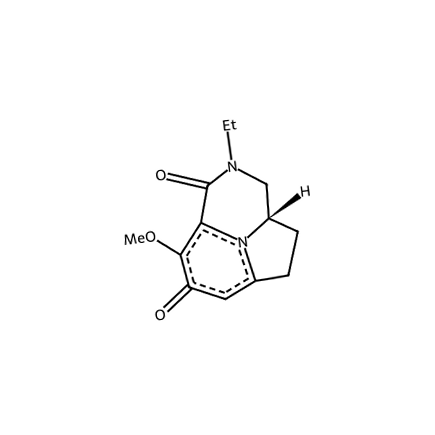 CCN1C[C@@H]2CCc3cc(=O)c(OC)c(n32)C1=O